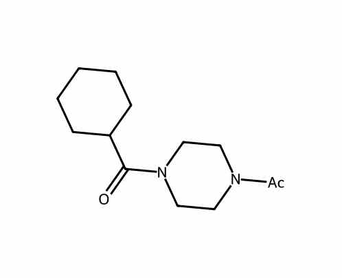 CC(=O)N1CCN(C(=O)C2CCCCC2)CC1